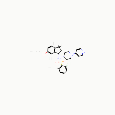 Cc1cccc(Cl)c1S(=O)(=O)[N+](C)(C1CCN(c2ccncc2)CC1)C1CC(C)(C)c2ccc(OC(=O)O)cc21